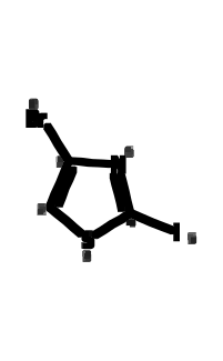 Brc1csc(I)n1